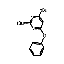 CC(C)(C)c1cc(Oc2ccccc2)nc(C(C)(C)C)n1